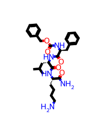 CC(C)C[C@H](NC(=O)[C@H](Cc1ccccc1)NC(=O)OCc1ccccc1)C(=O)N[C@@H](CCCCN)C(N)=O